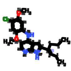 CC/C=C(\CCC)c1cc2c(Nc3cc(OC)c(Cl)cc3OC)ccnc2[nH]1